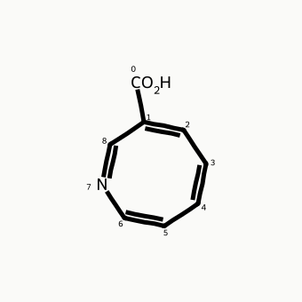 O=C(O)C1=CC=CC=CN=C1